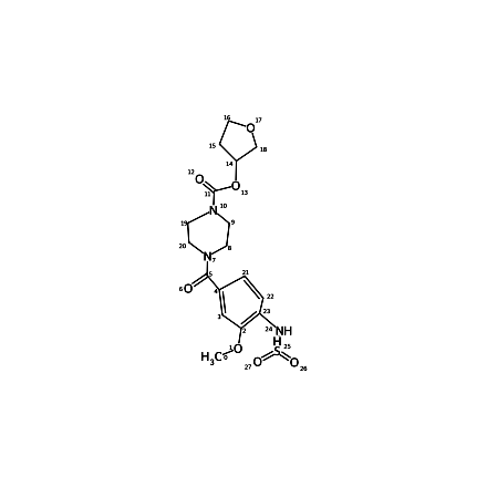 COc1cc(C(=O)N2CCN(C(=O)OC3CCOC3)CC2)ccc1N[SH](=O)=O